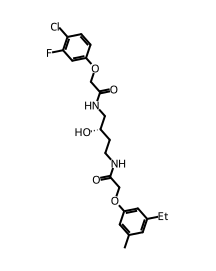 CCc1cc(C)cc(OCC(=O)NCC[C@H](O)CNC(=O)COc2ccc(Cl)c(F)c2)c1